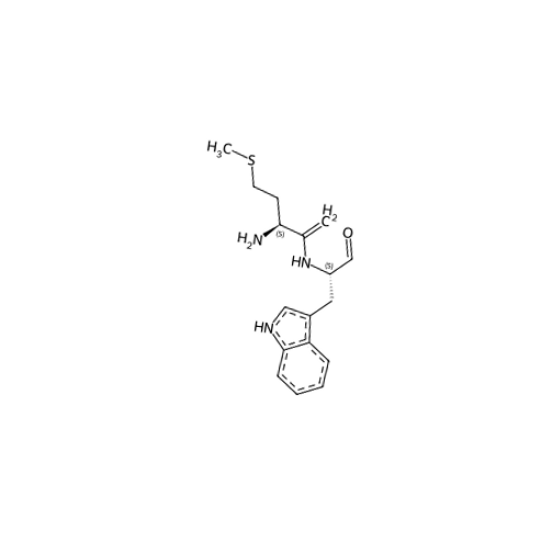 C=C(N[C@H](C=O)Cc1c[nH]c2ccccc12)[C@@H](N)CCSC